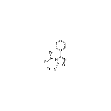 CCN=c1onc(-c2ccccc2)n1N(CC)CC